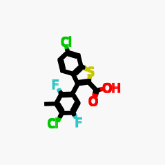 Cc1c(F)c(-c2c(C(=O)O)sc3cc(Cl)ccc23)cc(F)c1Cl